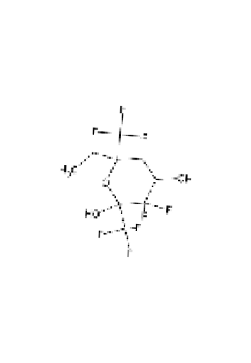 CCC1(C(F)(F)F)CC(O)C(F)(F)C(O)(C(F)(F)F)O1